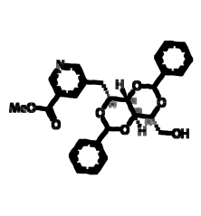 COC(=O)c1cncc(C[C@H]2OC(c3ccccc3)O[C@H]3[C@H]2OC(c2ccccc2)O[C@@H]3CO)c1